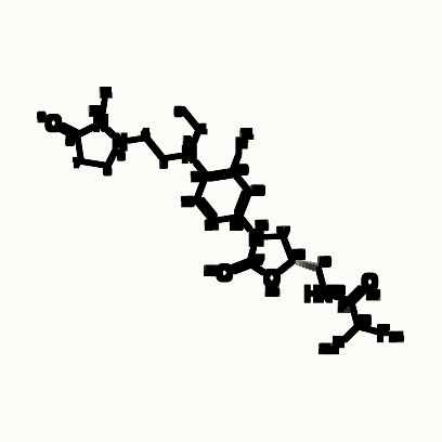 CCN(CCN1CCC(=O)N1C)c1ccc(N2C[C@H](CNC(=O)C(F)F)OC2=O)cc1F